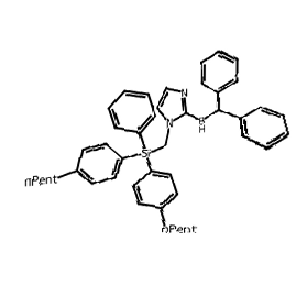 CCCCCc1ccc([Si](Cn2ccnc2BC(c2ccccc2)c2ccccc2)(c2ccccc2)c2ccc(CCCCC)cc2)cc1